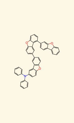 c1ccc(N(c2ccccc2)c2ccc3oc4ccc(-c5ccc6oc7cccc(-c8ccc9c(c8)oc8ccccc89)c7c6c5)cc4c3c2)cc1